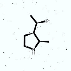 CC(C)[C@H](C)[C@@H]1CCN[C@@H]1C